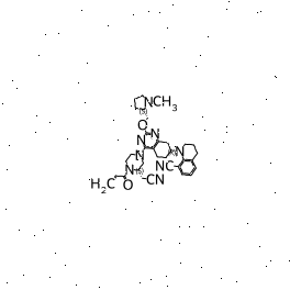 C=CC(=O)N1CCN(c2nc(OC[C@@H]3CCCN3C)nc3c2CC[C@@H](N2CCCc4cccc(C#N)c42)C3)C[C@@H]1CC#N